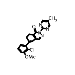 COc1cccc(C2=Cc3cnn(-c4ncc(C)cn4)c(=O)c3CC2)c1Cl